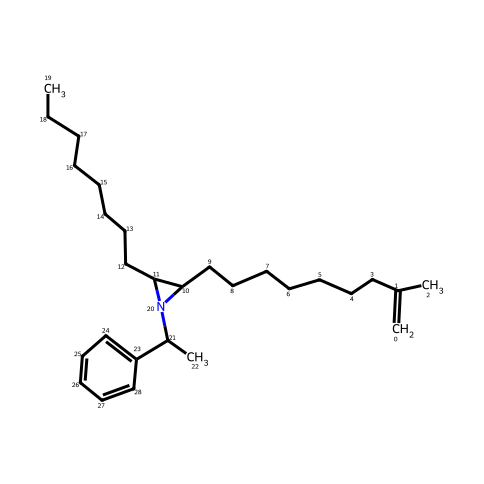 C=C(C)CCCCCCCC1C(CCCCCCCC)N1C(C)c1ccccc1